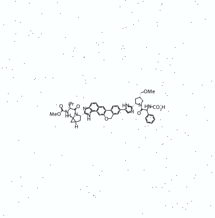 COC[C@H]1C[C@@H](c2ncc(-c3ccc4c(c3)COc3cc5c(ccc6nc([C@@H]7C[C@@H]8C[C@@H]8N7C(=O)C(NC(=O)OC)C(C)C)[nH]c65)cc3-4)[nH]2)N(C(=O)C(NC(=O)O)c2ccccc2)C1